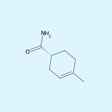 CC1=CC[C@H](C(N)=O)CC1